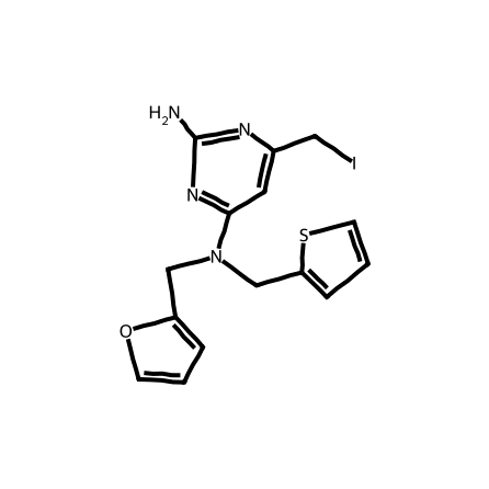 Nc1nc(CI)cc(N(Cc2ccco2)Cc2cccs2)n1